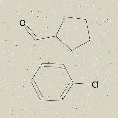 Clc1ccccc1.O=CC1CCCC1